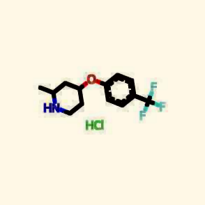 CC1CC(Oc2ccc(C(F)(F)F)cc2)CCN1.Cl